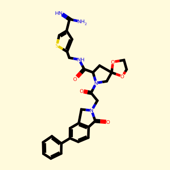 N=C(N)c1csc(CNC(=O)C2CC3(CN2C(=O)CN2Cc4cc(-c5ccccc5)ccc4C2=O)OCCO3)c1